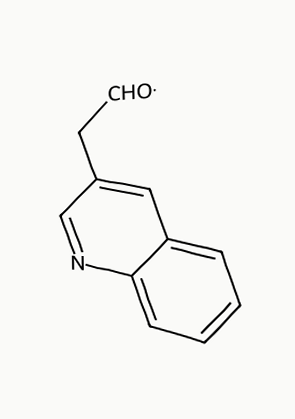 O=[C]Cc1cnc2ccccc2c1